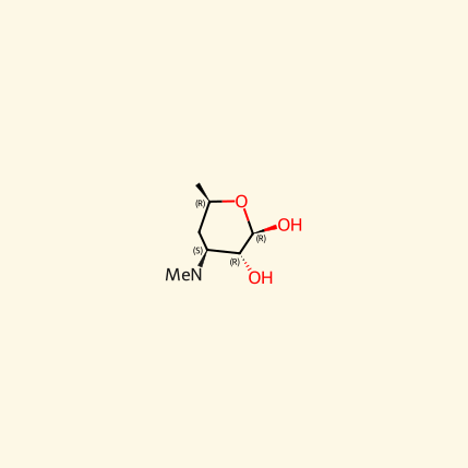 CN[C@H]1C[C@@H](C)O[C@@H](O)[C@@H]1O